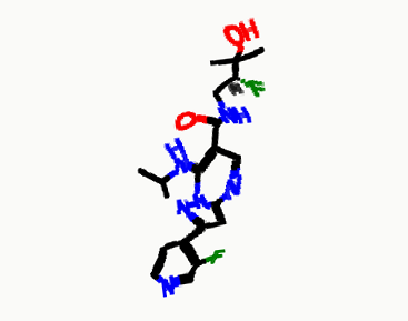 CC(C)Nc1c(C(=O)NC[C@@H](F)C(C)(C)O)cnc2cc(-c3ccncc3F)nn12